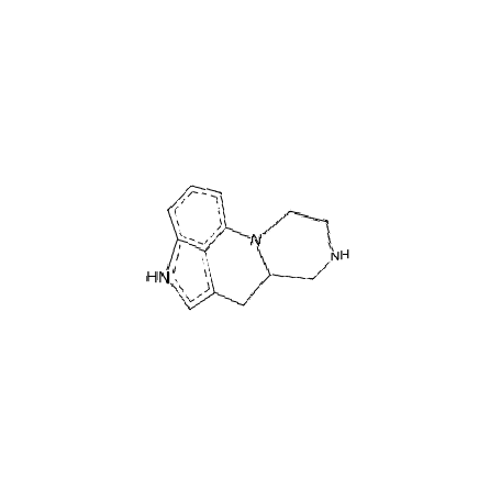 c1cc2c3c(c[nH]c3c1)CC1CNCCN21